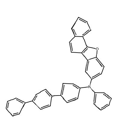 c1ccc(-c2ccc(-c3ccc(N(c4ccccc4)c4ccc5oc6c7ccccc7ccc6c5c4)cc3)cc2)cc1